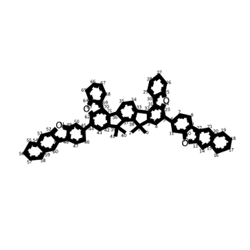 CC1(C)c2cc(-c3ccc4c(c3)oc3cc5ccccc5cc34)c3oc4ccccc4c3c2-c2ccc3c(c21)C(C)(C)c1cc(-c2ccc4c(c2)oc2cc5ccccc5cc24)c2oc4ccccc4c2c1-3